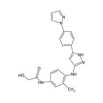 Cc1cc(NC(=O)CO)ccc1Nc1cc(-c2ccc(-n3cccn3)cc2)[nH]n1